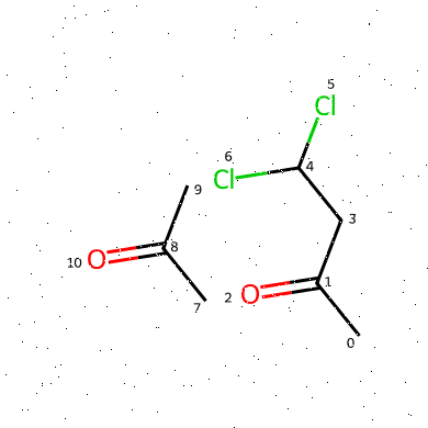 CC(=O)CC(Cl)Cl.CC(C)=O